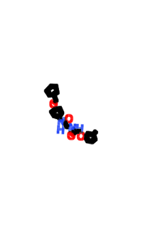 Cc1cccc(OCC(=O)NCC(=O)Nc2ccc(OCc3ccccc3)cc2)c1